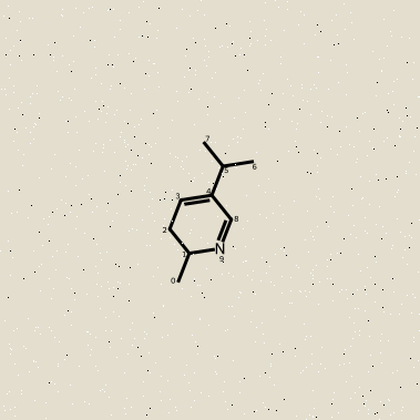 CC1CC=C(C(C)C)C=N1